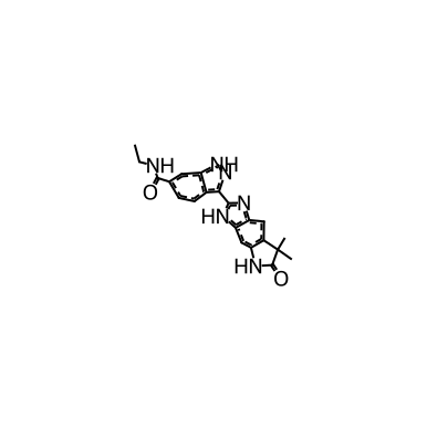 CCNC(=O)c1ccc2c(-c3nc4cc5c(cc4[nH]3)NC(=O)C5(C)C)n[nH]c2c1